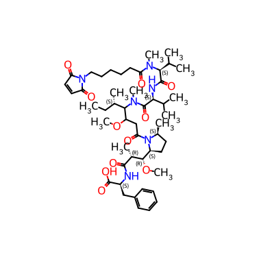 CC[C@H](C)C(C(CC(=O)N1[C@@H](C)CC[C@H]1[C@H](OC)[C@@H](C)C(=O)N[C@@H](Cc1ccccc1)C(=O)O)OC)N(C)C(=O)[C@@H](NC(=O)[C@H](C(C)C)N(C)C(=O)CCCCCN1C(=O)C=CC1=O)C(C)C